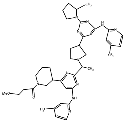 COCCC(=O)N1CCCC(c2cc(Nc3cc(C)ccn3)nc(C(C)N3CCC(c4cc(Nc5cc(C(F)(F)F)ccn5)nc(N5CCCC5C)n4)C3)n2)C1